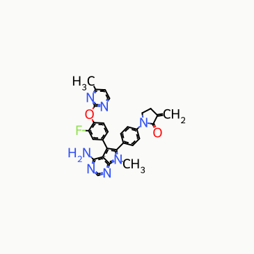 C=C1CCN(c2ccc(-c3c(-c4ccc(Oc5nccc(C)n5)c(F)c4)c4c(N)ncnc4n3C)cc2)C1=O